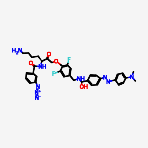 CN(C)c1ccc(/N=N/c2ccc(C(O)NCc3cc(F)c(OCC(=O)[C@H](CCCCN)NC(=O)c4cccc(N=[N+]=[N-])c4)c(F)c3)cc2)cc1